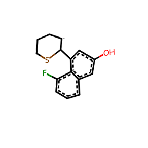 Oc1cc(C2[CH]CCCS2)c2c(F)cccc2c1